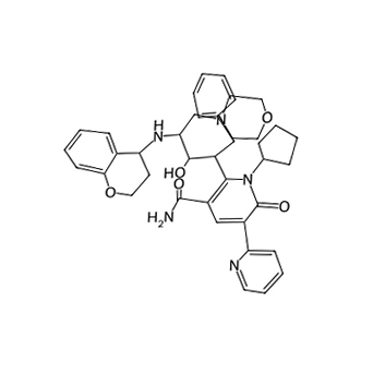 NC(=O)c1cc(-c2ccccn2)c(=O)n(C2CCCC2)c1C(Cc1ccccc1)C(O)C(CN1CCOCC1)NC1CCOc2ccccc21